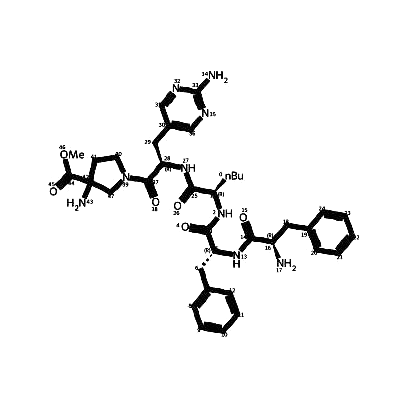 CCCC[C@@H](NC(=O)[C@@H](Cc1ccccc1)NC(=O)[C@H](N)Cc1ccccc1)C(=O)N[C@H](Cc1cnc(N)nc1)C(=O)N1CCC(N)(C(=O)OC)C1